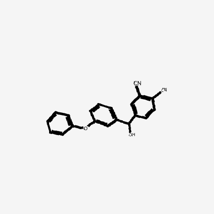 N#Cc1ccc(C(O)c2cccc(Oc3ccccc3)c2)cc1C#N